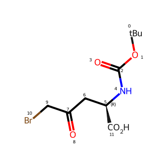 CC(C)(C)OC(=O)N[C@H](CC(=O)CBr)C(=O)O